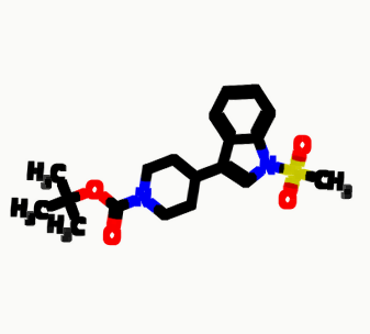 CC(C)(C)OC(=O)N1CCC(c2cn(S(C)(=O)=O)c3ccccc23)CC1